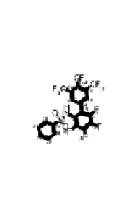 O=S(=O)(Nc1c(F)c(F)c(F)c(F)c1-c1cc(C(F)(F)F)c(C(F)(F)F)c(C(F)(F)F)c1)c1ccccc1